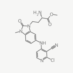 COC(=O)[C@H](N)CCn1c(=O)n(C)c2ccc(Nc3ccnc(Cl)c3C#N)cc21